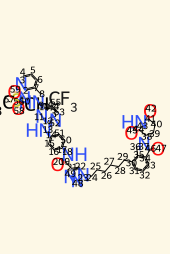 CN(c1ncccc1CNc1nc(Nc2ccc(NC(=O)c3cn(CCCCCCc4cccc5c4CN(C4CCC(=O)NC4=O)C5=O)nn3)cc2)ncc1C(F)(F)F)S(C)(=O)=O